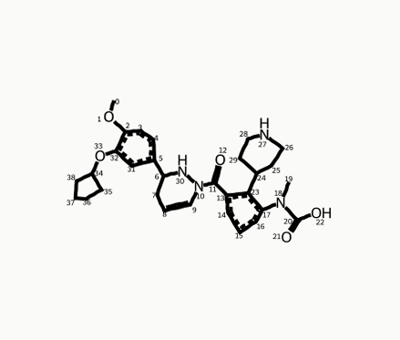 COc1ccc(C2CC=CN(C(=O)c3cccc(N(C)C(=O)O)c3C3CCNCC3)N2)cc1OC1CCCC1